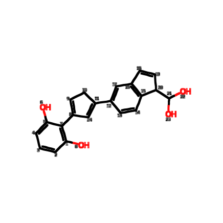 Oc1cccc(O)c1C1=CCC(c2ccc3c(c2)C=CC3C(O)O)=C1